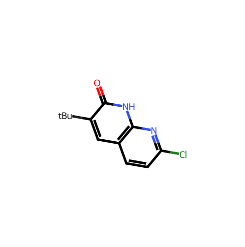 CC(C)(C)c1cc2ccc(Cl)nc2[nH]c1=O